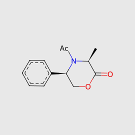 CC(=O)N1[C@@H](C)C(=O)OC[C@H]1c1ccccc1